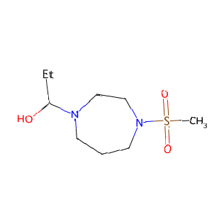 CCC(O)N1CCCN(S(C)(=O)=O)CC1